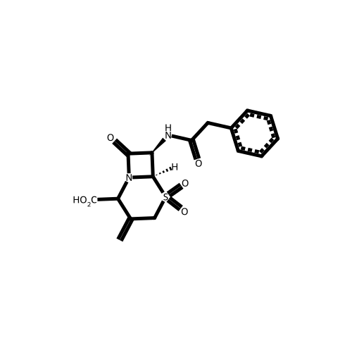 C=C1CS(=O)(=O)[C@@H]2[C@H](NC(=O)Cc3ccccc3)C(=O)N2C1C(=O)O